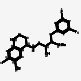 CC(=O)NC(Cc1cc(F)cc(F)c1)C(O)CNC1CCNc2cc(F)c(C(C)(C)C)cc21